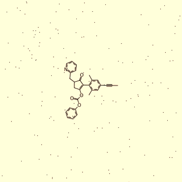 CC#Cc1cc(C)c(C2=C(OC(=O)Oc3ccccc3)CC(Cc3ccccn3)C2=O)c(C)c1